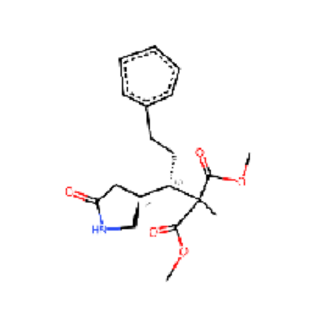 COC(=O)C(C)(C(=O)OC)[C@@H](CCc1ccccc1)[C@H]1CNC(=O)C1